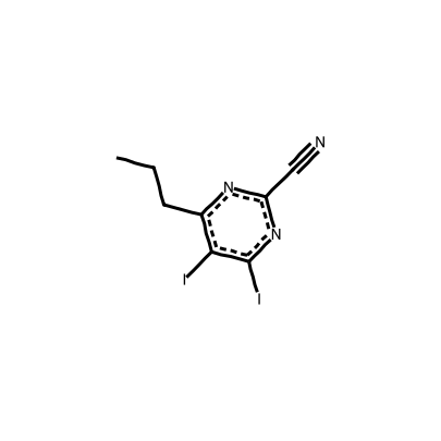 CCCc1nc(C#N)nc(I)c1I